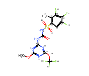 COc1nc(NC(=O)NS(=O)(=O)c2cc(F)c(F)c(F)c2C)nc(OC(F)(F)F)n1